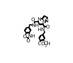 O=C(NCc1ccc2oc(=O)[nH]c2c1)c1cc(C(=O)NCc2ccc(C(=O)O)c(Cl)c2)n2nccc2n1